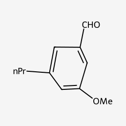 CCCc1cc(C=O)cc(OC)c1